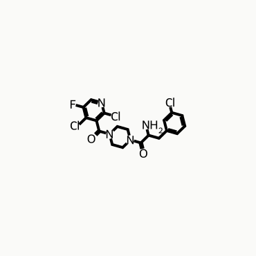 NC(Cc1cccc(Cl)c1)C(=O)N1CCN(C(=O)c2c(Cl)ncc(F)c2Cl)CC1